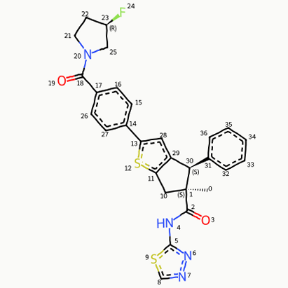 C[C@]1(C(=O)Nc2nncs2)Cc2sc(-c3ccc(C(=O)N4CC[C@@H](F)C4)cc3)cc2[C@H]1c1ccccc1